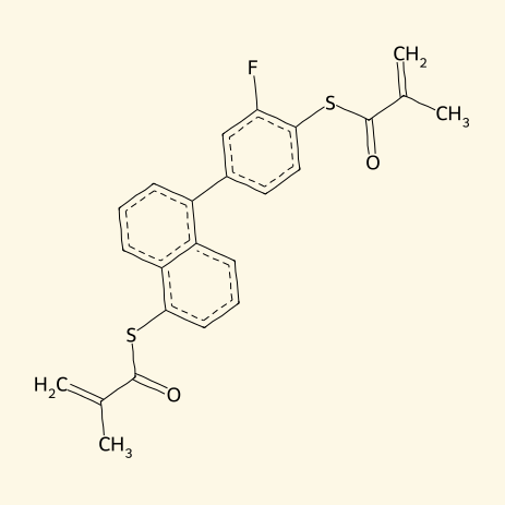 C=C(C)C(=O)Sc1ccc(-c2cccc3c(SC(=O)C(=C)C)cccc23)cc1F